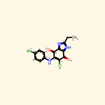 CCc1nc2c([nH]1)C(=O)C(Cl)=C(Nc1ccc(Br)cc1)C2=O